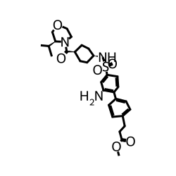 COC(=O)CCc1ccc(-c2ccc(S(=O)(=O)N[C@H]3CC[C@H](C(=O)N4CCOC[C@@H]4C(C)C)CC3)cc2N)cc1